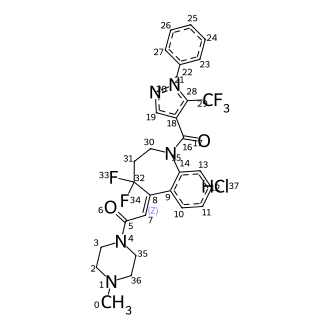 CN1CCN(C(=O)/C=C2/c3ccccc3N(C(=O)c3cnn(-c4ccccc4)c3C(F)(F)F)CCC2(F)F)CC1.Cl